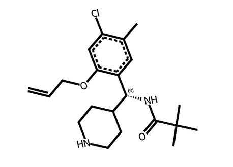 C=CCOc1cc(Cl)c(C)cc1[C@H](NC(=O)C(C)(C)C)C1CCNCC1